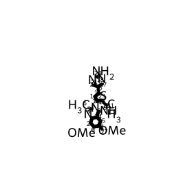 COc1cc2nc(C)nc(NC(C)c3ccc(-c4cnc(N)nc4)s3)c2cc1OC